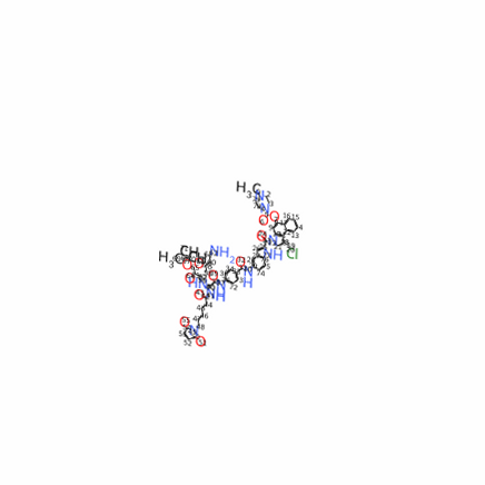 CN1CCN(C(=O)Oc2cc3c(c4ccccc24)[C@H](CCl)CN3C(=O)c2cc3cc(NC(=O)c4ccc(NC(=O)[C@@H](NC(=O)CCCCCN5C(=O)C=CC5=O)N[C@@H](CCCCN)C(=O)C(=O)OC(C)(C)C)cc4)ccc3[nH]2)CC1